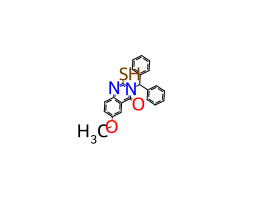 COc1ccc2nc(S)n(C(c3ccccc3)c3ccccc3)c(=O)c2c1